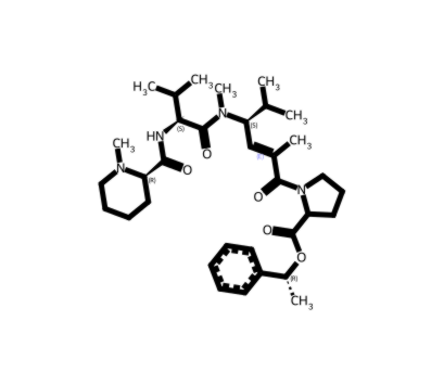 C/C(=C\[C@H](C(C)C)N(C)C(=O)[C@@H](NC(=O)[C@H]1CCCCN1C)C(C)C)C(=O)N1CCCC1C(=O)O[C@H](C)c1ccccc1